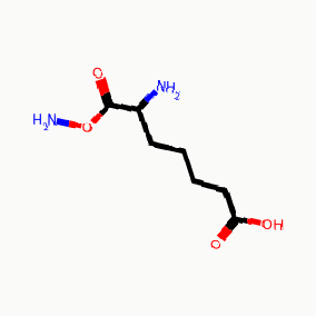 NOC(=O)C(N)CCCCC(=O)O